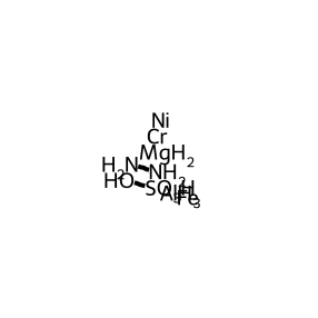 NN.O=S(=O)(O)O.[AlH3].[Cr].[Fe].[MgH2].[Ni]